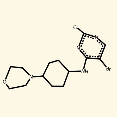 Clc1ncc(Br)c(NC2CCC(N3CCOCC3)CC2)n1